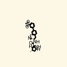 C[C@H]1C[C@@H]2C[C@H]1[C@@H](C(=O)N[C@H](C#N)Cc1ccc(-c3cccc(S(C)(=O)=O)c3)cc1F)N2